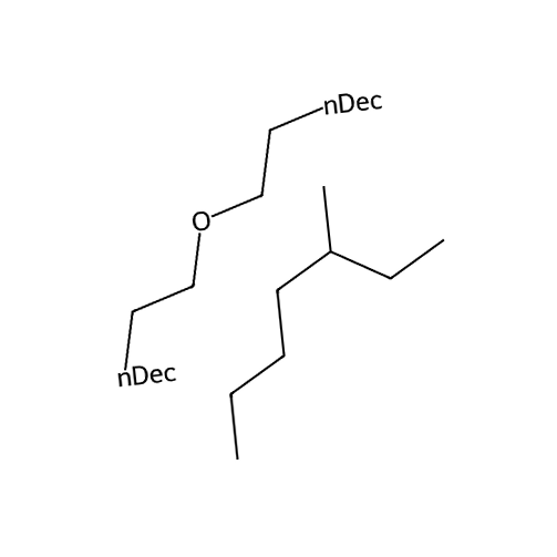 CCCCC(C)CC.CCCCCCCCCCCCOCCCCCCCCCCCC